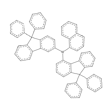 c1ccc(C2(c3ccccc3)c3ccccc3-c3cc(N(c4cccc5c4-c4ccccc4C5(c4ccccc4)c4ccccc4)c4cccc5ccccc45)ccc32)cc1